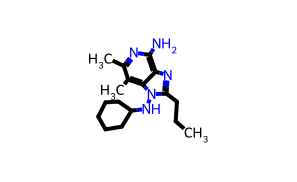 CCCc1nc2c(N)nc(C)c(C)c2n1NC1CCCCC1